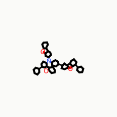 c1ccc(-c2cccc3c2oc2ccc(-c4ccc(N(c5ccc6c(c5)oc5ccccc56)c5ccc(-c6ccccc6)c6oc7ccccc7c56)cc4)cc23)cc1